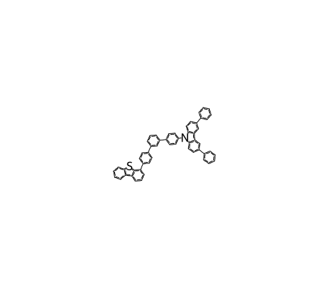 c1ccc(-c2ccc3c(c2)c2cc(-c4ccccc4)ccc2n3-c2ccc(-c3cccc(-c4ccc(-c5cccc6c5sc5ccccc56)cc4)c3)cc2)cc1